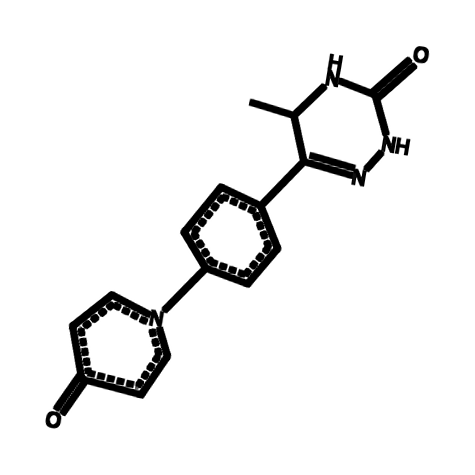 CC1NC(=O)NN=C1c1ccc(-n2ccc(=O)cc2)cc1